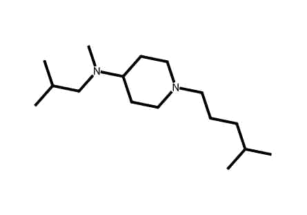 CC(C)CCCN1CCC(N(C)CC(C)C)CC1